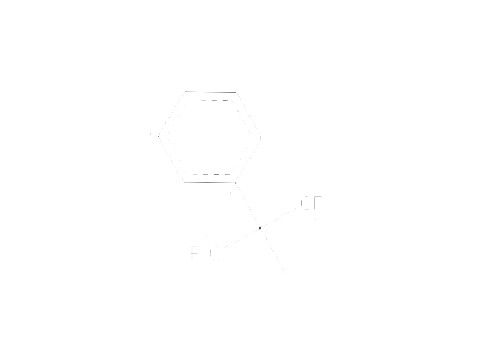 CC(c1cc[c]cc1)(C(F)(F)F)C(F)(F)F